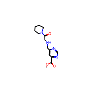 COC(=O)c1cc(CNCC(=O)N2CCCCC2)ncn1